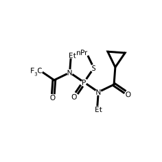 CCCSP(=O)(N(CC)C(=O)C1CC1)N(CC)C(=O)C(F)(F)F